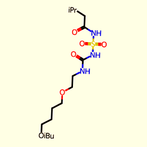 CC(C)COCCCCOCCNC(=O)NS(=O)(=O)NC(=O)CC(C)C